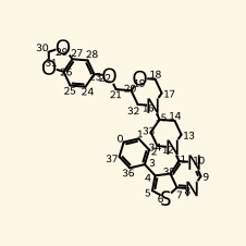 c1ccc(-c2csc3ncnc(N4CCC(N5CCOC(COc6ccc7c(c6)OCO7)C5)CC4)c23)cc1